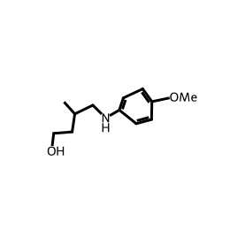 COc1ccc(NCC(C)CCO)cc1